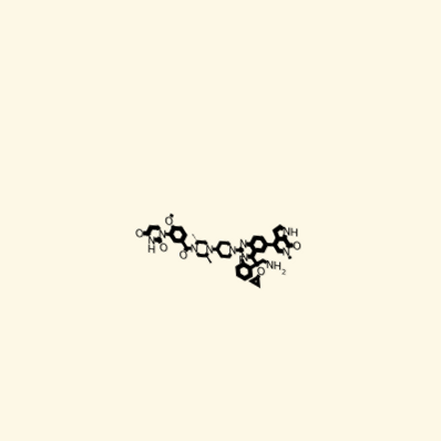 COc1ccc(C(=O)N2C[C@H](C)N(C3CCN(c4nc(C(CN)(OC5CC5)c5ccccc5F)c5cc(-c6cn(C)c(=O)c7[nH]ccc67)ccc5n4)CC3)C[C@H]2C)cc1-n1ccc(=O)[nH]c1=O